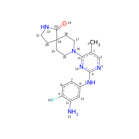 Cc1cnc(Nc2ccc(F)c(N)c2)nc1N1CCC2(CCNC2=O)CC1